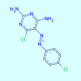 Nc1nc(N)c(/N=N/c2ccc(Cl)cc2)c(Cl)n1